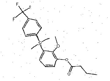 CCCC(=O)Oc1cccc([Si](C)(C)c2ccc(C(F)(F)F)cc2)c1OC